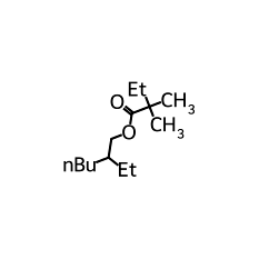 CCCCC(CC)COC(=O)C(C)(C)CC